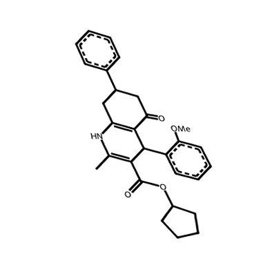 COc1ccccc1C1C(C(=O)OC2CCCC2)=C(C)NC2=C1C(=O)CC(c1ccccc1)C2